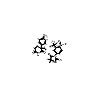 CC1(C)NC(=O)N(c2ccc([N+](=O)[O-])c(C(F)(F)F)c2)C1=O.CCC1(c2ccc(N)cc2)CCC(=O)NC1=O